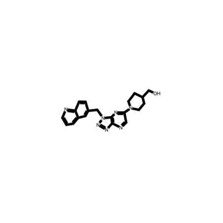 OCC1CCN(c2cnc3nnn(Cc4ccc5ncccc5c4)c3n2)CC1